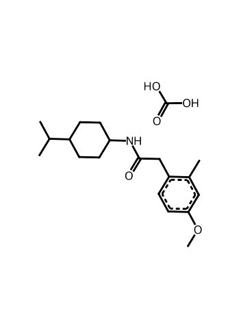 COc1ccc(CC(=O)NC2CCC(C(C)C)CC2)c(C)c1.O=C(O)O